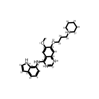 COc1cc2c(Nc3cccc4cc[nH]c34)ncnc2cc1OCCCN1CCCCC1